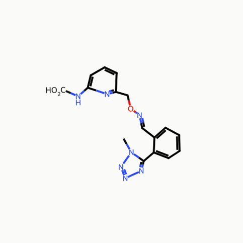 Cn1nnnc1-c1ccccc1C=NOCc1cccc(NC(=O)O)n1